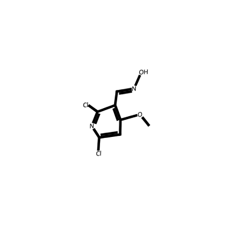 COc1cc(Cl)nc(Cl)c1/C=N/O